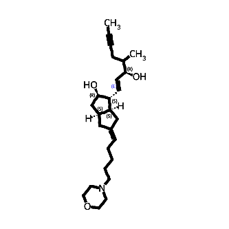 CC#CCC(C)[C@@H](O)/C=C/[C@@H]1[C@H]2CC(=CCCCCN3CCOCC3)C[C@H]2C[C@H]1O